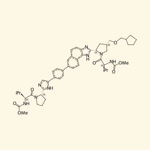 COC(=O)N[C@H](C(=O)N1CCC[C@H]1c1ncc(-c2ccc(-c3ccc4c(ccc5nc([C@@H]6C[C@H](COCC7CCCC7)CN6C(=O)[C@@H](NC(=O)OC)C(C)C)[nH]c54)c3)cc2)[nH]1)C(C)C